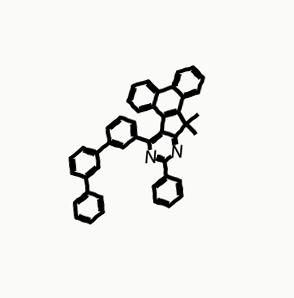 CC1(C)c2nc(-c3ccccc3)nc(-c3cccc(-c4cccc(-c5ccccc5)c4)c3)c2-c2c1c1ccccc1c1ccccc21